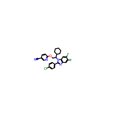 N#Cc1ccc(OCC(C2CCCCC2)n2c(-c3ccc(Cl)cc3)nc3cc(F)c(F)cc32)nc1